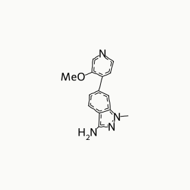 COc1cnccc1-c1ccc2c(N)nn(C)c2c1